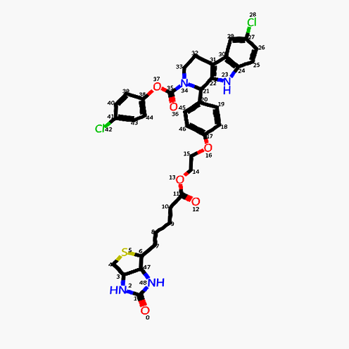 O=C1NC2CSC(CCCCC(=O)OCCOc3ccc(C4c5[nH]c6ccc(Cl)cc6c5CCN4C(=O)Oc4ccc(Cl)cc4)cc3)C2N1